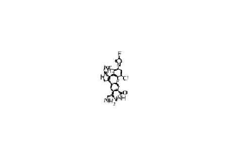 Cn1ncc(-c2ccc3c(=O)[nH]nc(CN)c3c2)c1-c1c(F)c(Cl)cc(N2CC(F)C2)c1C#N